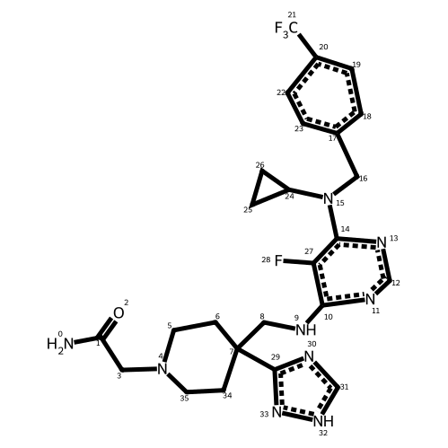 NC(=O)CN1CCC(CNc2ncnc(N(Cc3ccc(C(F)(F)F)cc3)C3CC3)c2F)(c2nc[nH]n2)CC1